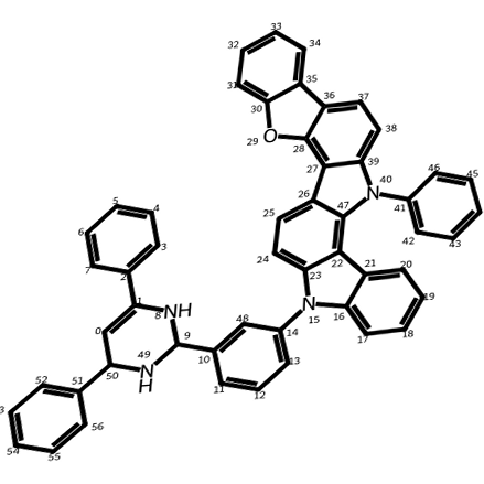 C1=C(c2ccccc2)NC(c2cccc(-n3c4ccccc4c4c3ccc3c5c6oc7ccccc7c6ccc5n(-c5ccccc5)c34)c2)NC1c1ccccc1